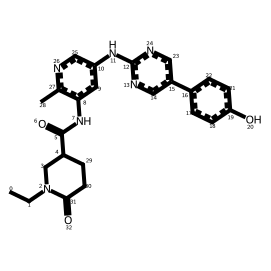 CCN1CC(C(=O)Nc2cc(Nc3ncc(-c4ccc(O)cc4)cn3)cnc2C)CCC1=O